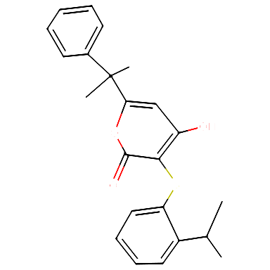 CC(C)c1ccccc1Sc1c(O)cc(C(C)(C)c2ccccc2)oc1=O